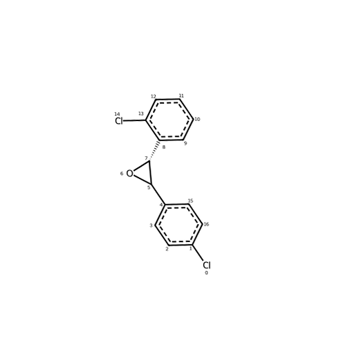 Clc1ccc(C2O[C@@H]2c2ccccc2Cl)cc1